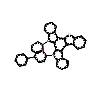 c1ccc(-c2ccc(-n3c4ccccc4c4c5c6ccccc6oc5c5c6ccccc6n(-c6ccccc6)c5c43)cc2)cc1